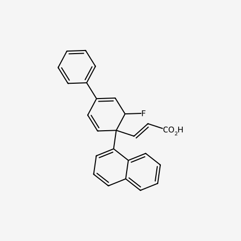 O=C(O)C=CC1(c2cccc3ccccc23)C=CC(c2ccccc2)=CC1F